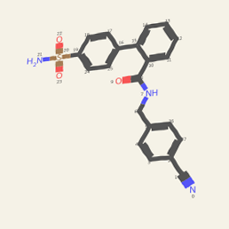 N#Cc1ccc(CNC(=O)c2ccccc2-c2ccc(S(N)(=O)=O)cc2)cc1